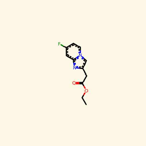 CCOC(=O)Cc1cn2ccc(F)cc2n1